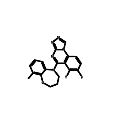 Cc1cccc2c1OCCCN2c1nc2nncn2c2ccc(F)c(F)c12